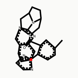 Cc1ccc(-n2nccn2)c(C(=O)N2CCC3CCC(C2)N3c2ncc3ccccc3n2)c1